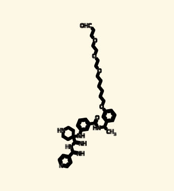 CC(NC(=O)c1cccc(NC2(C(=N)NC(=N)c3ccncc3)CCNCC2)c1)c1cccc(OCCCCCCOCCOCCOCCC=O)c1